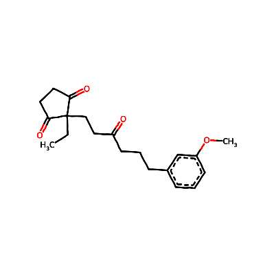 CCC1(CCC(=O)CCCc2cccc(OC)c2)C(=O)CCC1=O